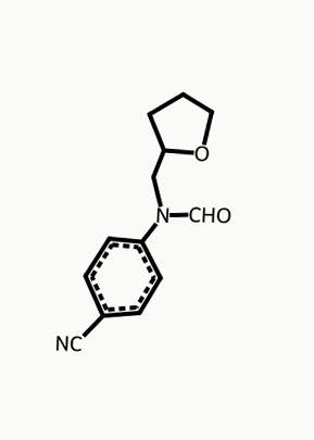 N#Cc1ccc(N(C=O)CC2CCCO2)cc1